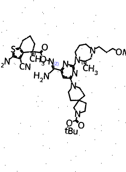 COCCCN1CCCN(c2nc(/C(N)=N/OC(=O)[C@@]3(C)CCCc4sc(N)c(C#N)c43)cc(N3CCC4(CCN(C(=O)OC(C)(C)C)C4)CC3)n2)[C@@H](C)C1